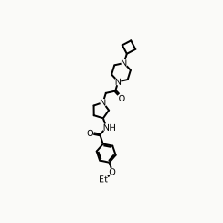 CCOc1ccc(C(=O)NC2CCN(CC(=O)N3CCN(C4CCC4)CC3)C2)cc1